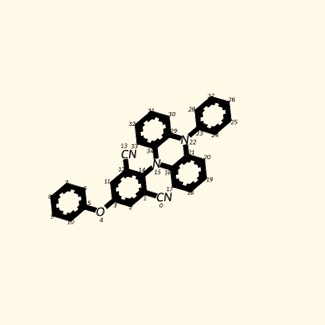 N#Cc1cc(Oc2ccccc2)cc(C#N)c1N1c2ccccc2N(c2ccccc2)c2ccccc21